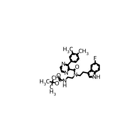 Cc1ccc(-c2nccnc2C(=O)N(CCNC(=O)OC(C)(C)C)CCc2c[nH]c3ccc(F)cc23)cc1C